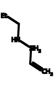 C=C[SiH2]NCCC